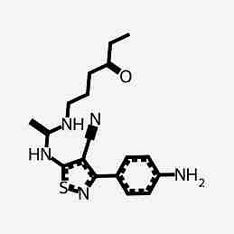 C=C(NCCCC(=O)CC)Nc1snc(-c2ccc(N)cc2)c1C#N